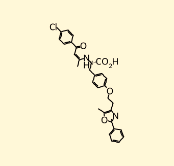 CC(=CC(=O)c1ccc(Cl)cc1)N[C@@H](Cc1ccc(OCCc2nc(-c3ccccc3)oc2C)cc1)C(=O)O